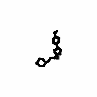 COc1ccc(-c2csc(NCCN3CCOCC3)n2)cc1